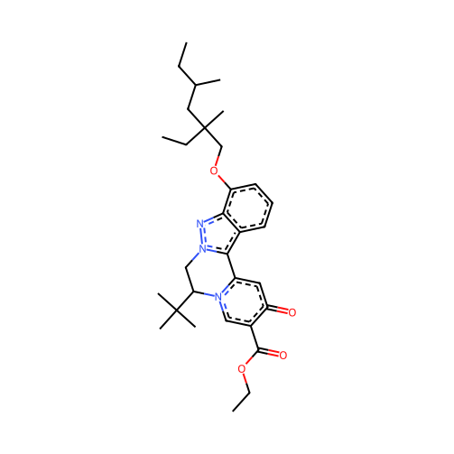 CCOC(=O)c1cn2c(cc1=O)-c1c3cccc(OCC(C)(CC)CC(C)CC)c3nn1CC2C(C)(C)C